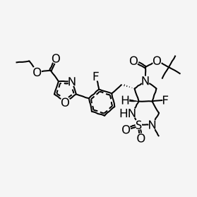 CCOC(=O)c1coc(-c2cccc(C[C@H]3[C@H]4NS(=O)(=O)N(C)CC4(F)CN3C(=O)OC(C)(C)C)c2F)n1